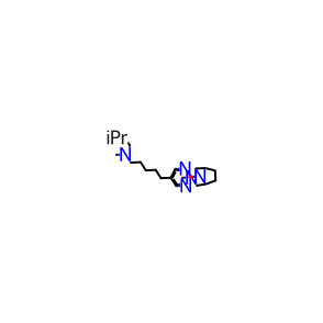 CC(C)CN(C)CCCCCc1cnc(N2C3CCC2CN(C)C3)nc1